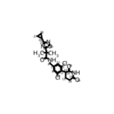 CC(C)(C(=O)NCc1cc(Cl)c(C2CCC(=O)NC2=O)c(Cl)c1)c1nc(C2CC2)no1